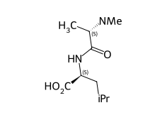 CN[C@@H](C)C(=O)N[C@@H](CC(C)C)C(=O)O